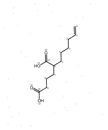 C=CCCCCC(CCCC(=O)O)C(=O)O